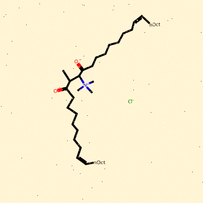 CCCCCCCC/C=C\CCCCCCCC(=O)C(C)C(C(=O)CCCCCCC/C=C\CCCCCCCC)[N+](C)(C)C.[Cl-]